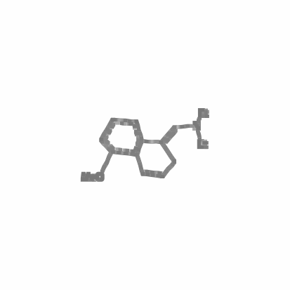 CCN(C=C1CC=Cc2c(OC)cccc21)CC